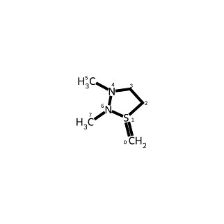 C=S1CCN(C)N1C